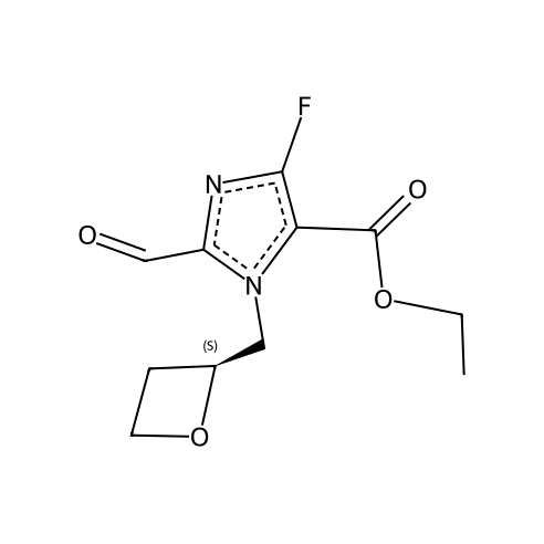 CCOC(=O)c1c(F)nc(C=O)n1C[C@@H]1CCO1